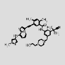 Cc1cc(C)c(C(=O)Nc2cc(CN3CCN(CCO)CC3)cc(C(C)(C)C#N)c2)cc1C#Cc1cnc2c(Nc3cnn(C)c3)cccn12